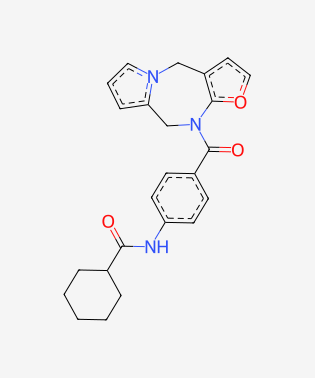 O=C(Nc1ccc(C(=O)N2Cc3cccn3Cc3ccoc32)cc1)C1CCCCC1